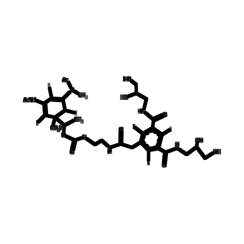 CC(=O)NC1=C(I)C(C(=O)O)(C(C)OC(=O)OCCNC(=O)Cc2c(I)c(C(=O)NCC(O)CO)c(I)c(C(=O)NCC(O)CO)c2I)C(I)C(N(C)C(C)=O)=C1I